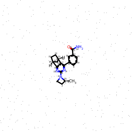 C[C@H]1CCN1c1nc(-c2cccc(C(N)=O)c2)c2c(n1)[C@@H]1CC[C@H]2C1